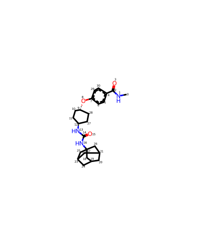 CNC(=O)c1ccc(O[C@H]2CC[C@H](NC(=O)NC34CC5CC(CC(C5)C3)C4)CC2)cc1